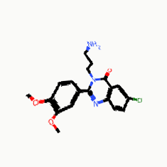 COc1ccc(-c2nc3ccc(Cl)cc3c(=O)n2CCCN)cc1OC